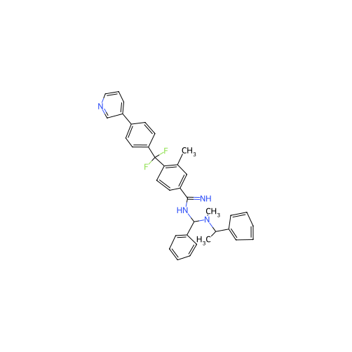 Cc1cc(C(=N)NC(c2ccccc2)N(C)C(C)c2ccccc2)ccc1C(F)(F)c1ccc(-c2cccnc2)cc1